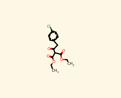 CCOC(=O)C(C(=O)Cc1ccc(Cl)cc1)C(=O)OCC